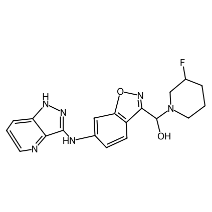 OC(c1noc2cc(Nc3n[nH]c4cccnc34)ccc12)N1CCCC(F)C1